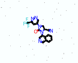 N#CC1CN(c2cnnc(C(F)(F)F)c2)C(=O)N1c1cncc2ccccc12